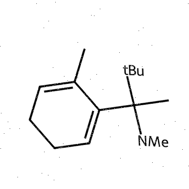 CNC(C)(C1=CCCC=C1C)C(C)(C)C